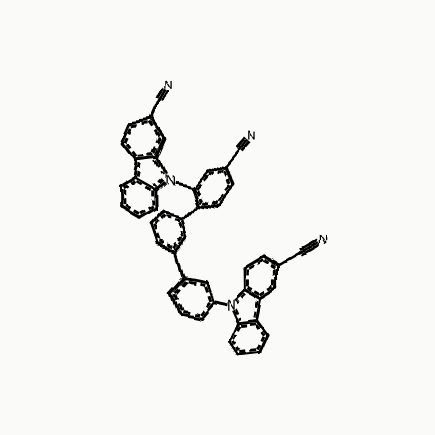 N#Cc1ccc(-c2cccc(-c3cccc(-n4c5ccccc5c5cc(C#N)ccc54)c3)c2)c(-n2c3ccccc3c3ccc(C#N)cc32)c1